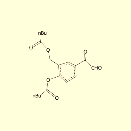 CCCCC(=O)OCc1cc(C(=O)C=O)ccc1OC(=O)CCCC